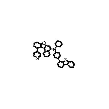 c1ccc(N(c2ccc(-c3cccc4c3sc3ccccc34)cc2)c2cc3oc4cccc(-c5ccncc5)c4c3c3ccccc23)cc1